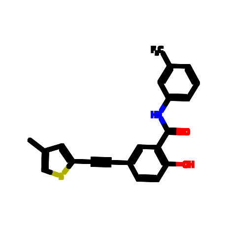 Cc1csc(C#Cc2ccc(O)c(C(=O)Nc3cccc(C(F)(F)F)c3)c2)c1